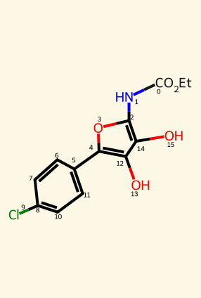 CCOC(=O)Nc1oc(-c2ccc(Cl)cc2)c(O)c1O